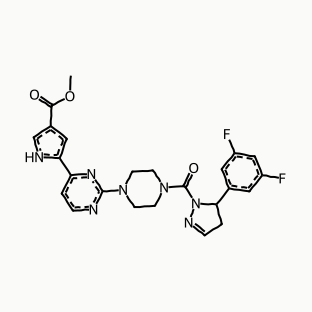 COC(=O)c1c[nH]c(-c2ccnc(N3CCN(C(=O)N4N=CCC4c4cc(F)cc(F)c4)CC3)n2)c1